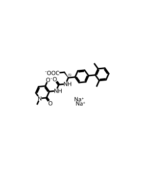 Cc1cccc(C)c1-c1ccc([C@H](CC(=O)[O-])NC(=O)Nc2c([O-])ccn(C)c2=O)cc1.[Na+].[Na+]